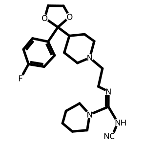 N#CNC(=NCCN1CCC(C2(c3ccc(F)cc3)OCCO2)CC1)N1CCCCC1